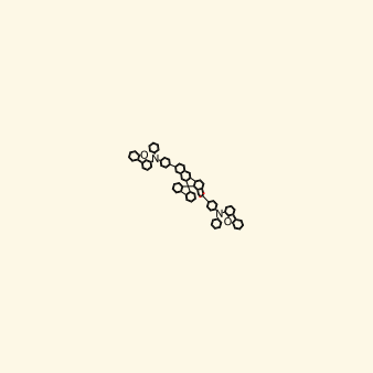 c1ccc(N(c2ccc(-c3ccc4cc5c(cc4c3)C3(c4ccccc4-c4ccccc43)c3c-5ccc4cc(-c5ccc(N(c6ccccc6)c6cccc7c6oc6ccccc67)cc5)ccc34)cc2)c2cccc3c2oc2ccccc23)cc1